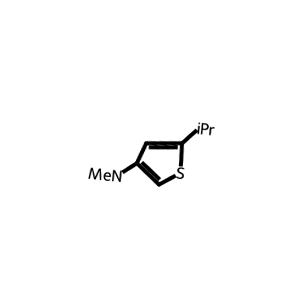 CNc1csc(C(C)C)c1